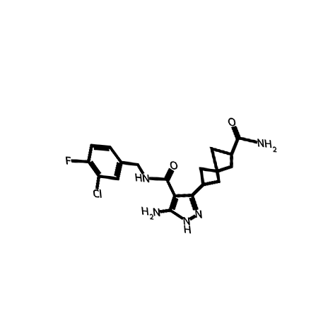 NC(=O)C1CC2(C1)CC(c1n[nH]c(N)c1C(=O)NCc1ccc(F)c(Cl)c1)C2